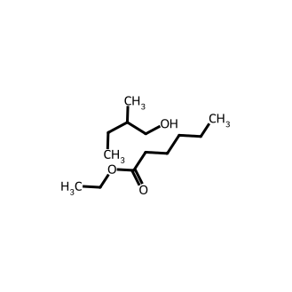 CCC(C)CO.CCCCCC(=O)OCC